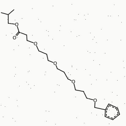 CC(C)COC(=O)CCOCCCOCCCOCCCOCc1ccccc1